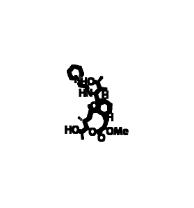 CO[C@H]1C[C@H]2C=C[C@@H]3C[C@]2(O[C@H]3[C@@H](NCCN2CCCCC2)C(C)[C@H](C)O)/C(C)=C/[C@@H](C)[C@@H]([C@@H](C)O)OC1=O